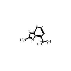 NC1=NC2=C(B(O)O)C=CCC2=N1